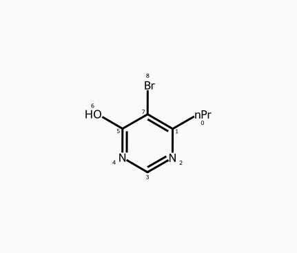 CCCc1ncnc(O)c1Br